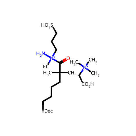 CCCCCCCCCCCCCCC(C)(C)C(=O)[N+](N)(CC)CCCS(=O)(=O)O.C[N+](C)(C)CC(=O)O